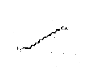 CCCCCCCCCCCCCCCCCCCCCCCCCC#CP